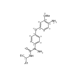 CCC(CC)NC(=O)N(N)c1ccc(Oc2ccc(N)c(OC)c2)cc1